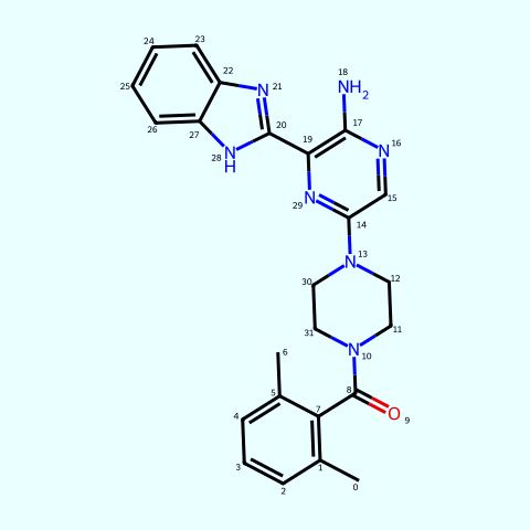 Cc1cccc(C)c1C(=O)N1CCN(c2cnc(N)c(-c3nc4ccccc4[nH]3)n2)CC1